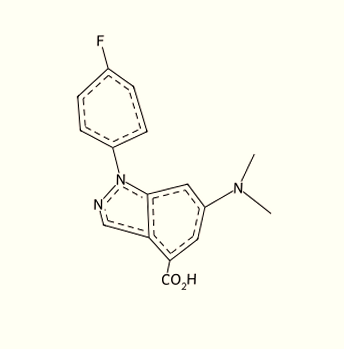 CN(C)c1cc(C(=O)O)c2cnn(-c3ccc(F)cc3)c2c1